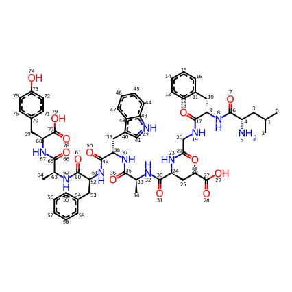 CC(C)C[C@H](N)C(=O)N[C@@H](Cc1ccccc1)C(=O)NCC(=O)N[C@@H](CCC(=O)O)C(=O)N[C@@H](C)C(=O)N[C@@H](Cc1c[nH]c2ccccc12)C(=O)N[C@@H](Cc1ccccc1)C(=O)N[C@@H](C)C(=O)N[C@@H](Cc1ccc(O)cc1)C(=O)O